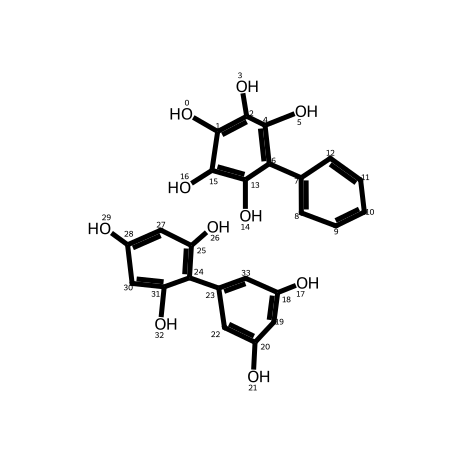 Oc1c(O)c(O)c(-c2ccccc2)c(O)c1O.Oc1cc(O)cc(-c2c(O)cc(O)cc2O)c1